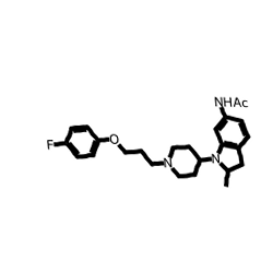 CC(=O)Nc1ccc2c(c1)N(C1CCN(CCCOc3ccc(F)cc3)CC1)C(C)C2